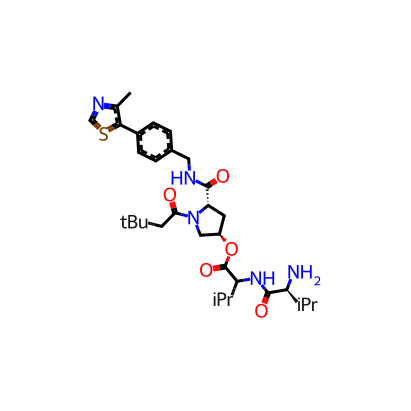 Cc1ncsc1-c1ccc(CNC(=O)[C@@H]2C[C@@H](OC(=O)C(NC(=O)[C@@H](N)C(C)C)C(C)C)CN2C(=O)CC(C)(C)C)cc1